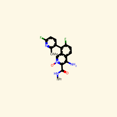 CCCNC(=O)c1c(N)c2ccc(F)c(-c3ccc(F)nc3OC)c2c[n+]1[O-]